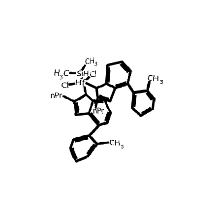 CCCC1=Cc2c(-c3ccccc3C)cccc2[CH]1[Hf]([Cl])([Cl])([CH]1C(CCC)=Cc2c(-c3ccccc3C)cccc21)[SiH](C)C